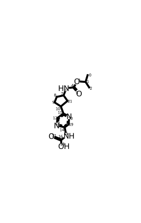 CC(C)OC(=O)NC1CCC(c2cnc(NC(=O)O)cn2)C1